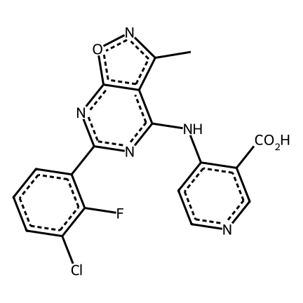 Cc1noc2nc(-c3cccc(Cl)c3F)nc(Nc3ccncc3C(=O)O)c12